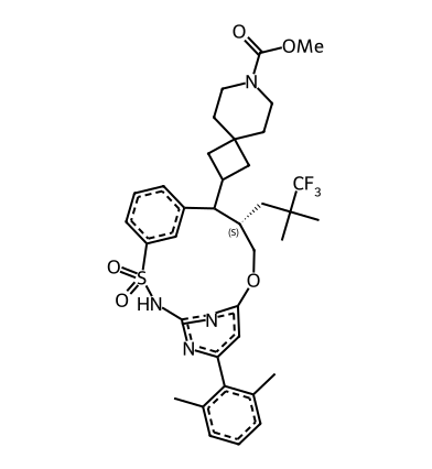 COC(=O)N1CCC2(CC1)CC(C1c3cccc(c3)S(=O)(=O)Nc3nc(cc(-c4c(C)cccc4C)n3)OC[C@H]1CC(C)(C)C(F)(F)F)C2